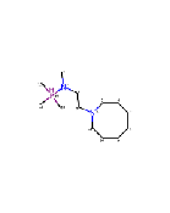 CN(CCN1CCCCCCC1)[PH](C)(C)C